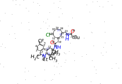 C=C(c1ccc(C(F)(F)F)cc1)N(CC)C(/C=C\C(C)NC(=O)CC1/C=C(CNC(=O)C(C)(C)C)\C=C/CC(Cl)C1)=C(\C)CCC